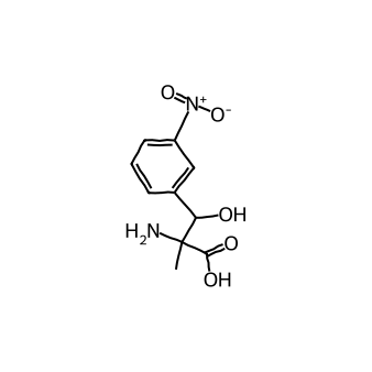 CC(N)(C(=O)O)C(O)c1cccc([N+](=O)[O-])c1